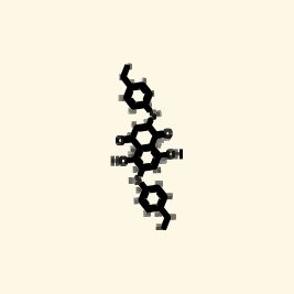 CCc1ccc(SC2=CC(=O)c3c(O)c(Sc4ccc(CC)cc4)cc(O)c3C2=O)cc1